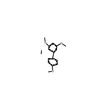 CC.COc1ccc(-c2cc(OC)cc(OC)c2)cc1